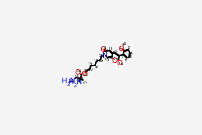 COc1ccccc1-c1cc2cc(=O)n(CCCCCCCOC(=O)C(C)(N)CN)cc2oc1=O